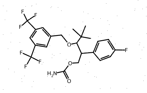 CC(C)(C)C(OCc1cc(C(F)(F)F)cc(C(F)(F)F)c1)C(COC(N)=O)c1ccc(F)cc1